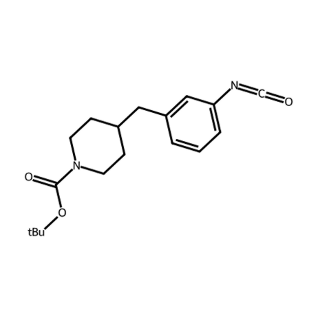 CC(C)(C)OC(=O)N1CCC(Cc2cccc(N=C=O)c2)CC1